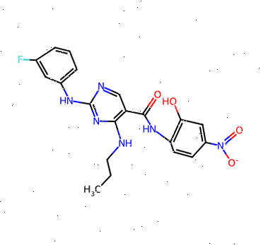 CCCNc1nc(Nc2cccc(F)c2)ncc1C(=O)Nc1ccc([N+](=O)[O-])cc1O